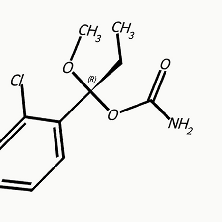 CC[C@@](OC)(OC(N)=O)c1ccccc1Cl